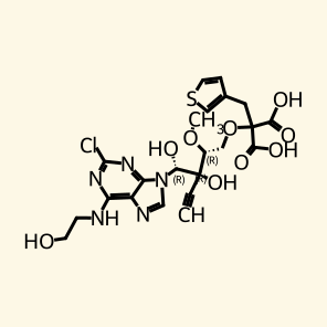 C#C[C@@](O)([C@@H](COC(Cc1ccsc1)(C(=O)O)C(=O)O)OC)[C@@H](O)n1cnc2c(NCCO)nc(Cl)nc21